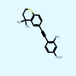 CC1(C)CCSc2ccc(C#Cc3ccc(C(=O)O)cc3[N+](=O)[O-])cc21